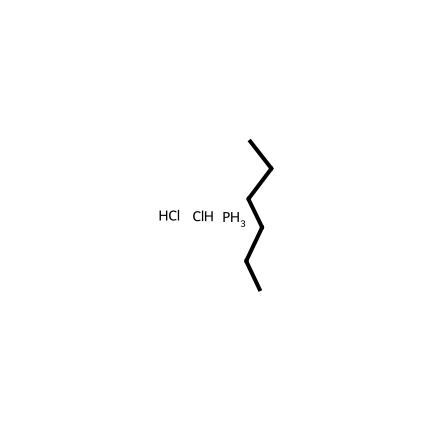 CCCCCC.Cl.Cl.P